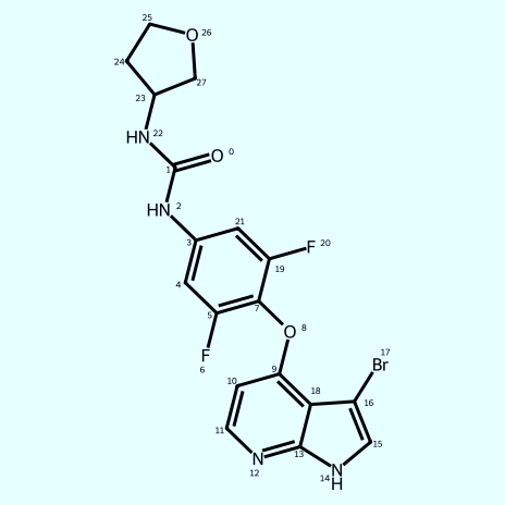 O=C(Nc1cc(F)c(Oc2ccnc3[nH]cc(Br)c23)c(F)c1)NC1CCOC1